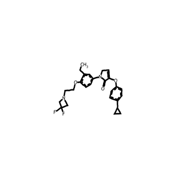 CCc1cc(N2CC=C(Oc3ccc(C4CC4)cc3)C2=O)ccc1OCCN1CC(F)(F)C1